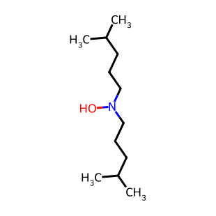 CC(C)CCCN(O)CCCC(C)C